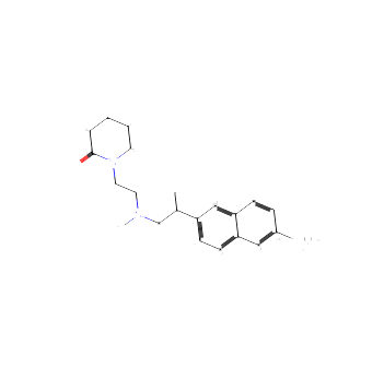 CCCN(CCN1CCCCC1=O)CC(C)c1ccc2cc(OC)ccc2c1